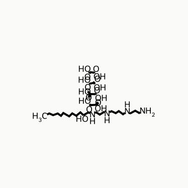 CCCCCCCCCCC(O)CNCCCNCCCCNCCCN.O=C(O)C(=O)O.O=C(O)C(=O)O.O=C(O)C(=O)O.O=C(O)C(=O)O